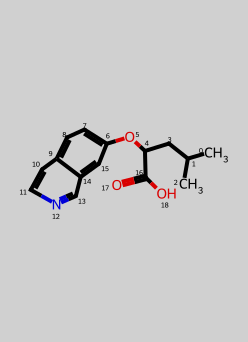 CC(C)CC(Oc1ccc2ccncc2c1)C(=O)O